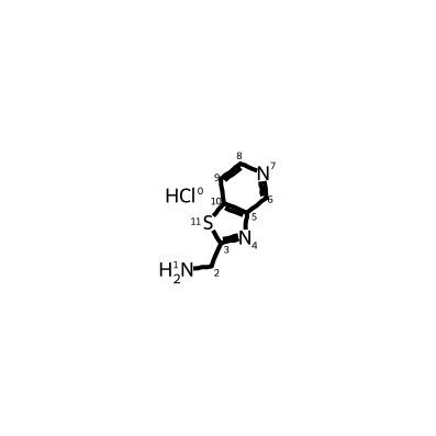 Cl.NCc1nc2cnccc2s1